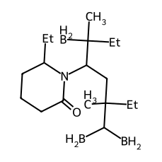 BC(B)C(C)(CC)CC(N1C(=O)CCCC1CC)C(B)(C)CC